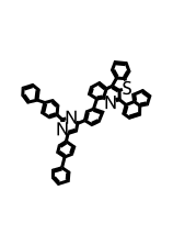 c1ccc(-c2ccc(-c3cc(-c4cccc(-c5cccc6c5nc(-c5cccc7ccccc57)c5sc7ccccc7c56)c4)nc(-c4ccc(-c5ccccc5)cc4)n3)cc2)cc1